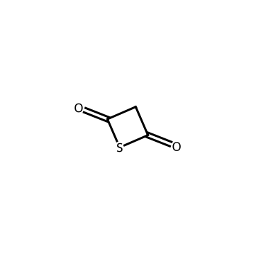 O=C1CC(=O)S1